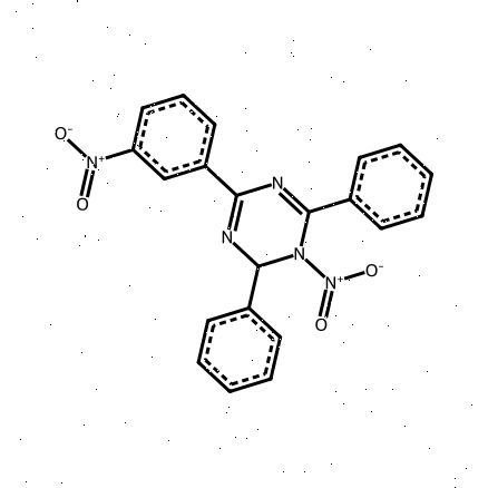 O=[N+]([O-])c1cccc(C2=NC(c3ccccc3)N([N+](=O)[O-])C(c3ccccc3)=N2)c1